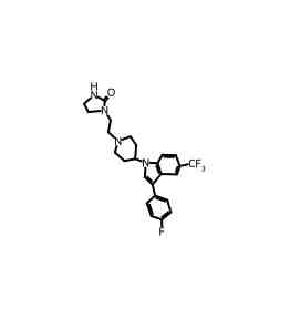 O=C1NCCN1CCN1CCC(n2cc(-c3ccc(F)cc3)c3cc(C(F)(F)F)ccc32)CC1